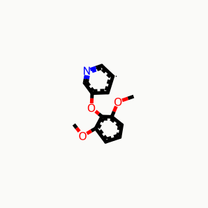 COc1cccc(OC)c1Oc1c[c]cnc1